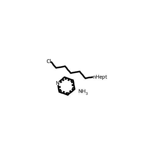 CCCCCCCCCCCCCl.N.c1ccncc1